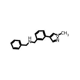 Cn1cc(-c2cccc(CNCc3ccccc3)c2)cn1